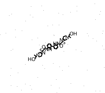 Cc1c(NC(=O)c2nc3c(s2)CN(C(C)CO)CC3)cccc1-c1cccc(NC(=O)c2nc3c(s2)CN(C(C)CO)CC3)c1C